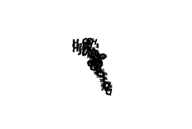 CC(C)(C)OC(=O)N1CCN2C(=O)N(OC(=O)N3CCC(CCc4ccc(Cl)cc4)CC3)C(=O)C2C1